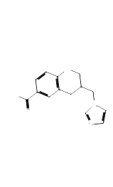 Cl.O=C(O)c1ccc2c(c1)CC(Cn1ccnc1)CO2